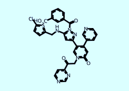 O=C(O)c1cccc(C(=O)n2nc(-c3cn(CC(=O)c4ccncn4)c(=O)cc3-c3cccnc3)cc2NCc2ccc(Cl)s2)c1